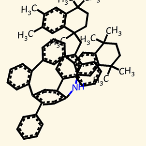 Cc1cc2c(cc1C)C(C)(Cc1ccc(-c3cc4c(-c5ccccc5)cc3Nc3cc5c(cc3-c3cccc(c3)-c3ccccc3-4)C(C)(C)CCC5(C)C)c3ccccc13)CCC2(C)C